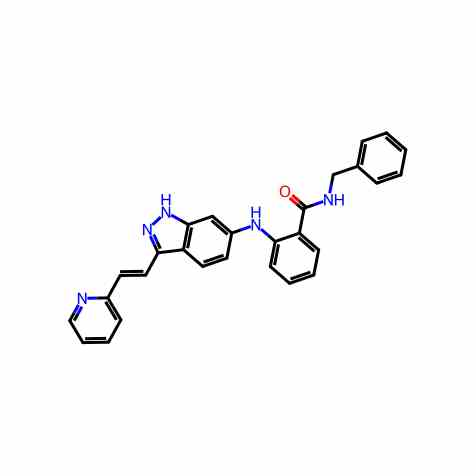 O=C(NCc1ccccc1)c1ccccc1Nc1ccc2c(C=Cc3ccccn3)n[nH]c2c1